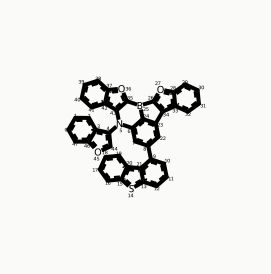 c1ccc2c(N3c4cc(-c5cccc6sc7ccccc7c56)cc5c4B(c4oc6ccccc6c4-5)c4oc5ccccc5c43)coc2c1